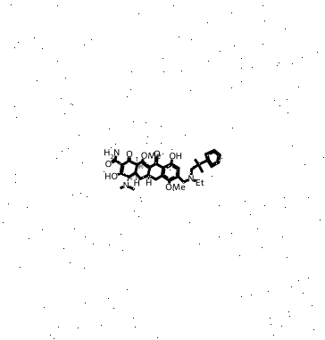 CCN(Cc1cc(O)c2c(c1OC)C[C@H]1C[C@H]3[C@H](N(C)C)C(O)=C(C(N)=O)C(=O)[C@@]3(C)C(OC)=C1C2=O)CC(C)(C)c1ccccc1